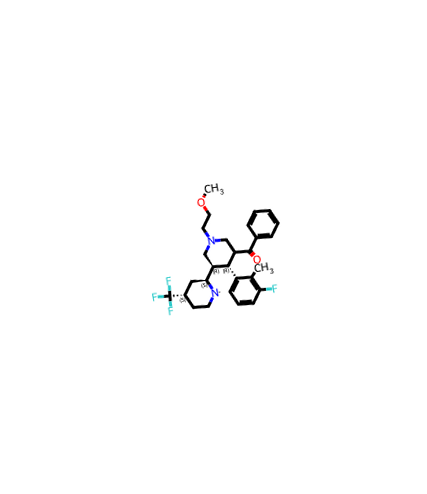 COCCN1CC(C(=O)c2ccccc2)[C@H](c2cccc(F)c2C)[C@@H]([C@@H]2C[C@@H](C(F)(F)F)CC[N]2)C1